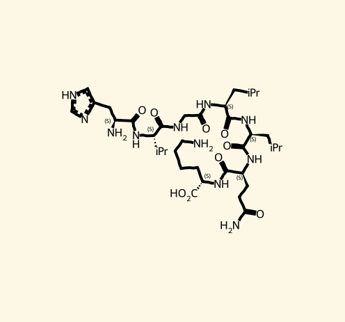 CC(C)C[C@H](NC(=O)CNC(=O)[C@@H](NC(=O)[C@@H](N)Cc1c[nH]cn1)C(C)C)C(=O)N[C@@H](CC(C)C)C(=O)N[C@@H](CCC(N)=O)C(=O)N[C@@H](CCCCN)C(=O)O